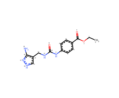 CCOC(=O)c1ccc(NC(=O)NCc2c[nH]nc2N)cc1